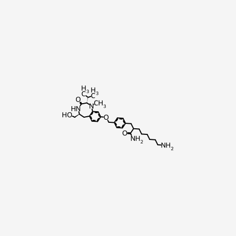 CC(C)[C@H]1C(=O)N[C@H](CO)Cc2ccc(OCc3ccc(CC(CCCCCCN)C(N)=O)cc3)cc2N1C